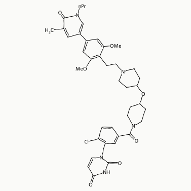 CCCn1cc(-c2cc(OC)c(CCN3CCC(OC4CCN(C(=O)c5ccc(Cl)c(-n6ccc(=O)[nH]c6=O)c5)CC4)CC3)c(OC)c2)cc(C)c1=O